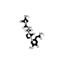 NC(=O)Cc1cc(=O)c(O)cn1N1CCN(S(=O)(=O)NC(=O)N2CC(N)C2=O)C1=O